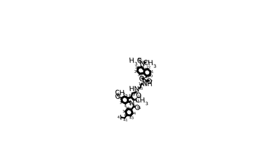 COc1ccc2c(c1)c(CC(=O)NCCNS(=O)(=O)c1cccc3c(N(C)C)cccc13)c(C)n2C(=O)c1ccc(CI)cc1